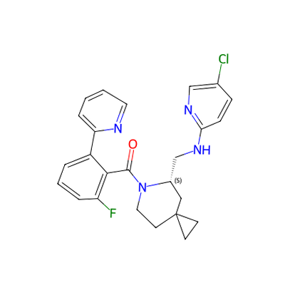 O=C(c1c(F)cccc1-c1ccccn1)N1CCC2(CC2)C[C@H]1CNc1ccc(Cl)cn1